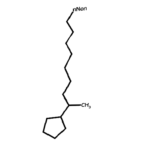 CCCCCCCCCCCCCCCCC(C)C1CCCC1